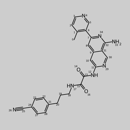 Cc1ccncc1-c1cc2cc(NC(=O)C(=O)NCCCc3ccc(C#N)cc3)ncc2c(N)n1